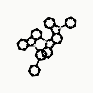 c1ccc(-c2cccc(-n3c4ccccc4c4cccc(-n5c6ccccc6c6ccc7c(c8ccccc8n7-c7ccccc7)c65)c43)c2)cc1